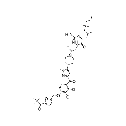 CCCC(C)(C)CC(C)C[C@@H](NC(=N)N)C(=O)NCC(=O)N1CCC(c2cc(C(=O)c3ccc(OCc4ccc(C(=O)C(C)(C)C)o4)c(Cl)c3Cl)nn2C)CC1